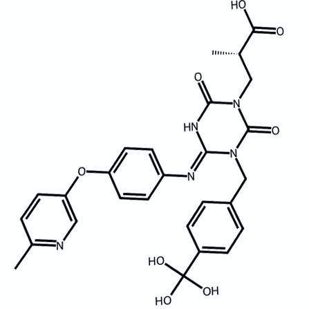 Cc1ccc(Oc2ccc(/N=c3\[nH]c(=O)n(C[C@H](C)C(=O)O)c(=O)n3Cc3ccc(C(O)(O)O)cc3)cc2)cn1